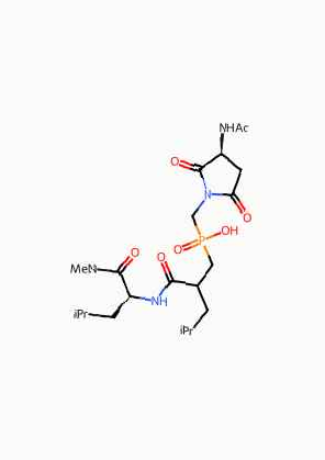 CNC(=O)[C@H](CC(C)C)NC(=O)C(CC(C)C)CP(=O)(O)CN1C(=O)C[C@H](NC(C)=O)C1=O